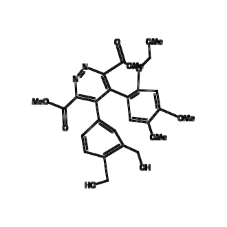 COCOc1cc(OC)c(OC)cc1-c1c(C(=O)OC)nnc(C(=O)OC)c1-c1ccc(CO)c(CO)c1